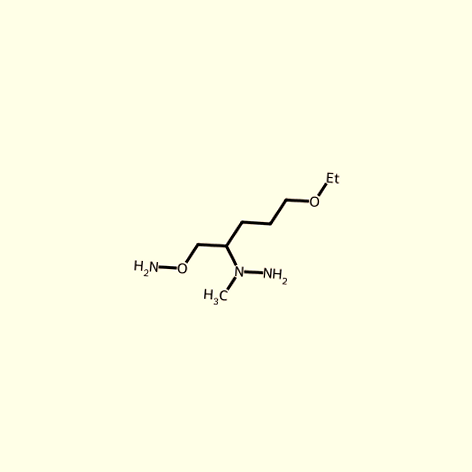 CCOCCCC(CON)N(C)N